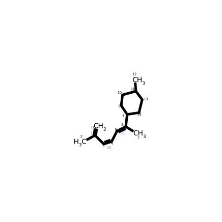 C=C(C)/C=C\C=C(/C)C1CCC(C)CC1